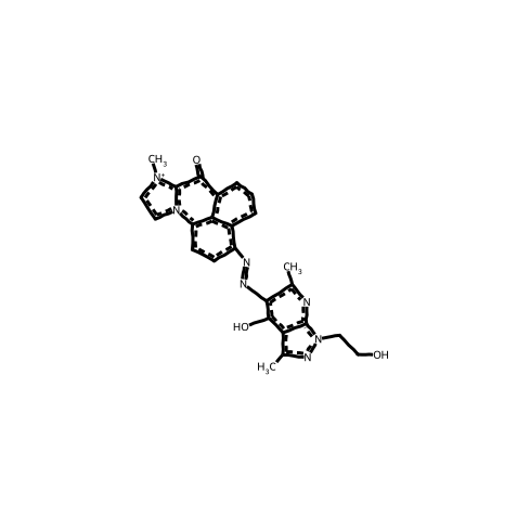 Cc1nc2c(c(C)nn2CCO)c(O)c1/N=N/c1ccc2c3c1cccc3c(=O)c1n2cc[n+]1C